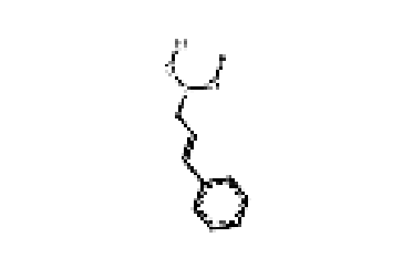 CCOP(C/C=C/c1ccccc1)OCC